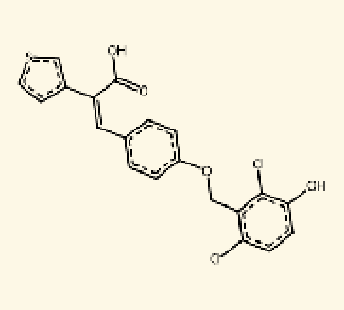 O=C(O)C(=Cc1ccc(OCc2c(Cl)ccc(O)c2Cl)cc1)c1ccsc1